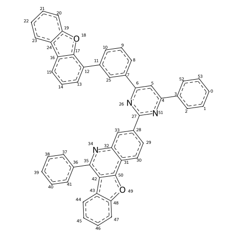 c1ccc(-c2cc(-c3cccc(-c4cccc5c4oc4ccccc45)c3)nc(-c3ccc4c(c3)nc(-c3ccccc3)c3c5ccccc5oc43)n2)cc1